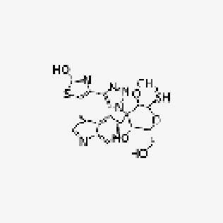 CO[C@H]1[C@@H](S)O[C@H](CO)[C@H](O)C1(c1ccc2ncsc2c1)n1cc(-c2csc(O)n2)nn1